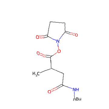 CCCCNC(=O)CC(C)C(=O)ON1C(=O)CCC1=O